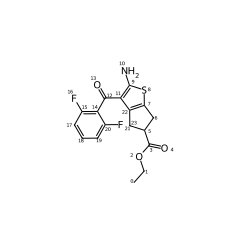 CCOC(=O)C1Cc2sc(N)c(C(=O)c3c(F)cccc3F)c2C1